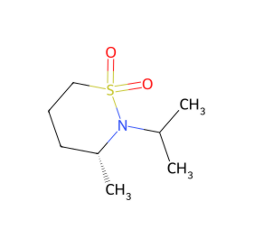 CC(C)N1[C@H](C)CCCS1(=O)=O